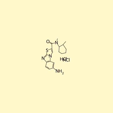 CC1CCCCC1N(C)C(=O)c1cn2c(nc3ccc(N)cc32)s1.Cl.Cl